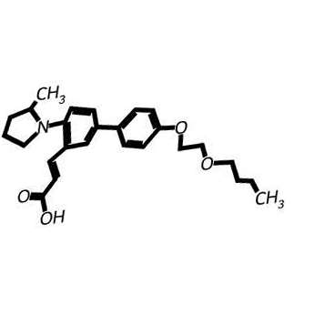 CCCCOCCOc1ccc(-c2ccc(N3CCCC3C)c(/C=C/C(=O)O)c2)cc1